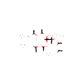 CCCCCCCC(C)(OC(C)OC(C)OC)C(C=O)(OC(C)OC(C)OC)OC(C)OC(C)OC